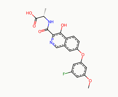 COc1cc(F)cc(Oc2ccc3c(O)c(C(=O)N[C@@H](C)C(=O)O)ncc3c2)c1